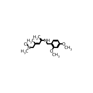 C=C(/C=C(\C)CN(C)Cl)NCc1ccc(OC)cc1OC